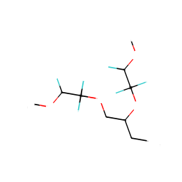 CCC(COC(F)(F)C(F)OC)OC(F)(F)C(F)OC